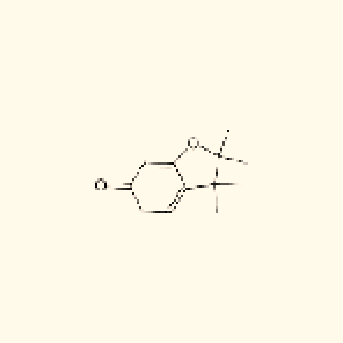 CC1(C)OC2=CC(=O)CC=C2C1(C)C